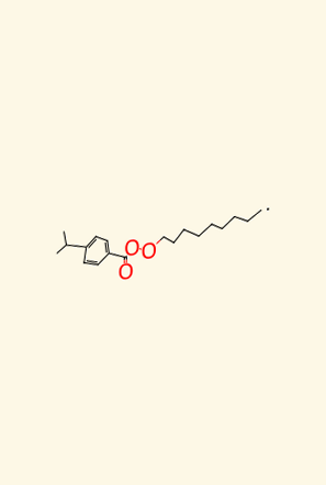 [CH2]CCCCCCCCOOC(=O)c1ccc(C(C)C)cc1